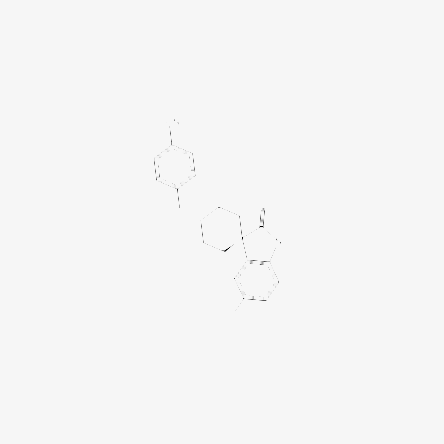 N#Cc1ccc(O[C@H]2CC[C@@]3(CC2)C(=O)Nc2ccc(C(=O)O)cc23)cc1